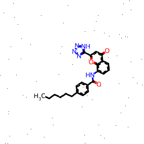 CCCCCCc1ccc(C(=O)Nc2cccc3c(=O)cc(-c4nnn[nH]4)oc23)cc1